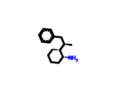 C[C@H](Cc1ccccc1)[C@H]1CCCC[C@H]1N